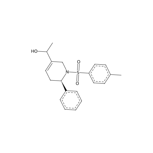 Cc1ccc(S(=O)(=O)N2CC(C(C)O)=CC[C@@H]2c2ccccc2)cc1